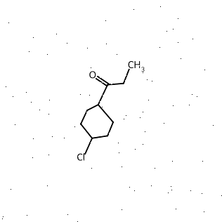 CCC(=O)C1CCC(Cl)CC1